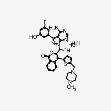 CC(c1oc(=O)c2ccccc2c1-c1ccc(CN2CCN(C)CC2)s1)n1nc(-c2cc(O)cc(F)c2)c2c(N)ncnc21.Cl.Cl